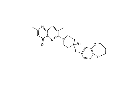 [2H]C1(Oc2ccc3c(c2)OCCCO3)CCN(c2nn3c(=O)cc(C)nc3cc2C)CC1